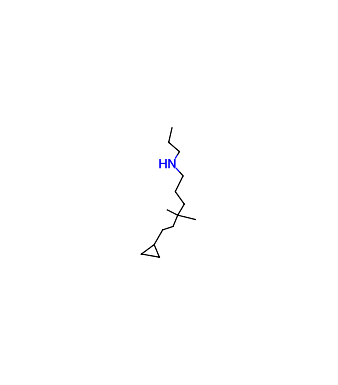 CCCNCCCC(C)(C)CCC1CC1